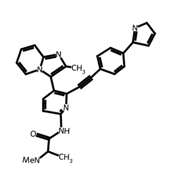 CNC(C)C(=O)Nc1ccc(-c2c(C)nc3ccccn23)c(C#Cc2ccc(C3=NCC=C3)cc2)n1